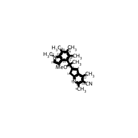 COC(C)(C1=Cc2c(nc(C)c(C#N)c2C)C1)c1c(C)c(C)c(C)c2c1ccn2C